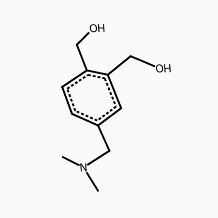 CN(C)Cc1ccc(CO)c(CO)c1